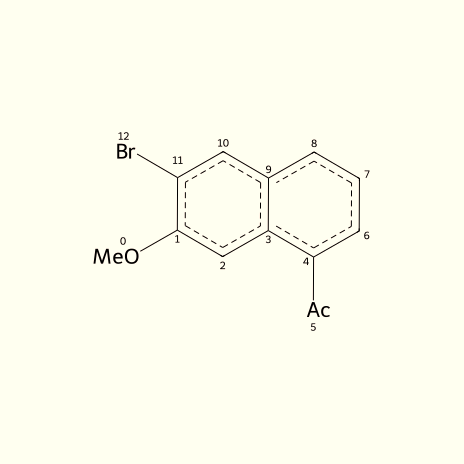 COc1cc2c(C(C)=O)cccc2cc1Br